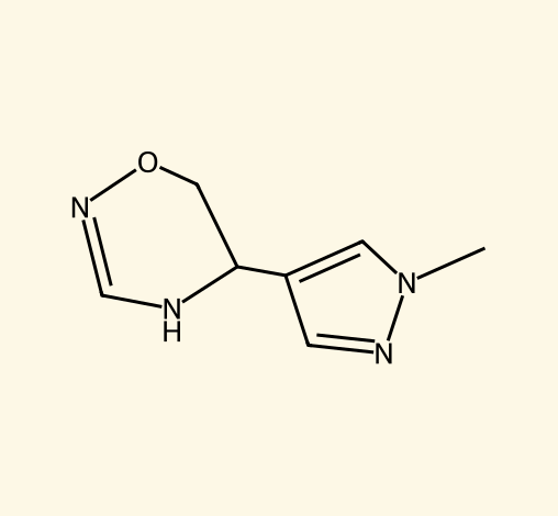 Cn1cc(C2CON=CN2)cn1